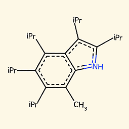 Cc1c(C(C)C)c(C(C)C)c(C(C)C)c2c(C(C)C)c(C(C)C)[nH]c12